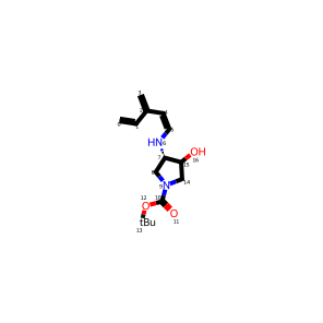 C=CC(=C)/C=C\N[C@H]1CN(C(=O)OC(C)(C)C)CC1O